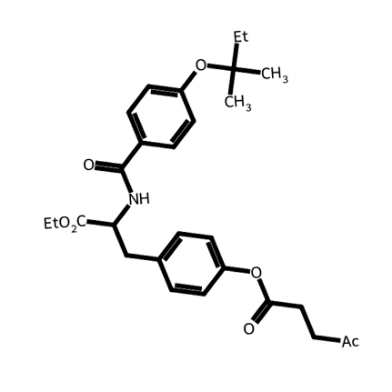 CCOC(=O)C(Cc1ccc(OC(=O)CCC(C)=O)cc1)NC(=O)c1ccc(OC(C)(C)CC)cc1